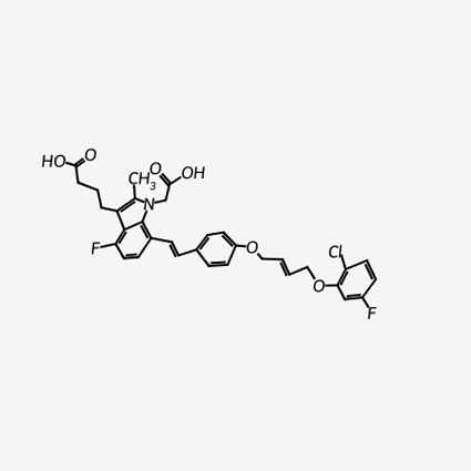 Cc1c(CCCC(=O)O)c2c(F)ccc(/C=C/c3ccc(OC/C=C/COc4cc(F)ccc4Cl)cc3)c2n1CC(=O)O